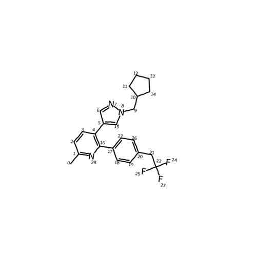 Cc1ccc(-c2cnn(CC3CCCC3)c2)c(-c2ccc(CC(F)(F)F)cc2)n1